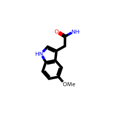 COc1ccc2[nH]cc(CC([NH])=O)c2c1